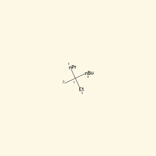 [CH2]C(CC)(CCC)CCCC